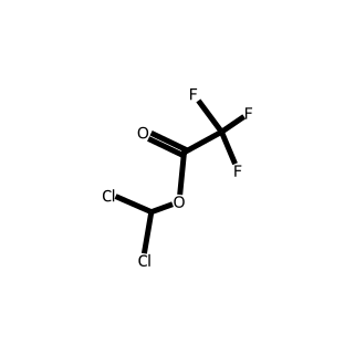 O=C(OC(Cl)Cl)C(F)(F)F